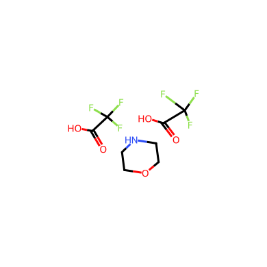 C1COCCN1.O=C(O)C(F)(F)F.O=C(O)C(F)(F)F